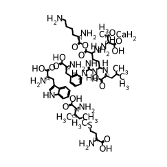 CC(C)C[C@H](NC(CCC(N)C(=O)OC(=O)[C@@H](N)CCCCN)NC(=N)N)C(=O)O.CC[C@H](C)[C@H](N)C(=O)O.CSCC[C@H](N)C(=O)O.C[C@@H](O)[C@H](N)C(=O)O.N[C@@H](Cc1c[nH]c2ccccc12)C(=O)O.N[C@@H](Cc1ccccc1)C(=O)O.[CaH2]